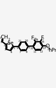 C=Cc1ccc(-c2ccc(-c3ccc(OCCC)c(F)c3F)cc2)[se]1